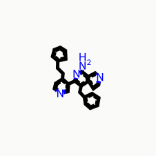 Nc1nc(-c2cnccc2CCc2ccccc2)c(Cc2ccccc2)c2ccncc12